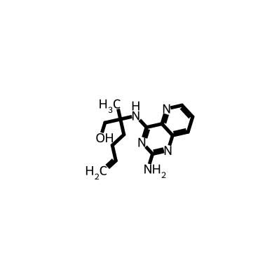 C=CCCC(C)(CO)Nc1nc(N)nc2cccnc12